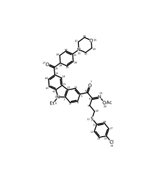 CCn1c2ccc(C(=O)/C(CCSc3ccc(Cl)cc3)=N/OC(C)=O)cc2c2cc(C(=O)C3C=CC(N4CCOCC4)=CC3)ccc21